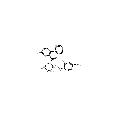 Cc1ccc(-c2ccccn2)c(C(=O)N2C[C@@H](C)O[C@@H](C)[C@H]2CNc2ncc(C(F)(F)F)cc2F)n1